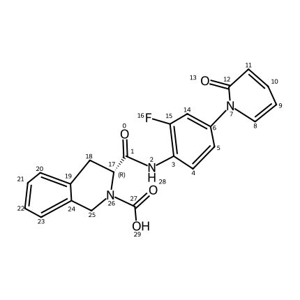 O=C(Nc1ccc(-n2ccccc2=O)cc1F)[C@H]1Cc2ccccc2CN1C(=O)O